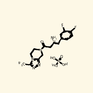 N[C@@H](CC(=O)N1CCn2c(nnc2C(F)(F)F)C1)Cc1ccc(F)c(F)c1.O=P(O)(O)O